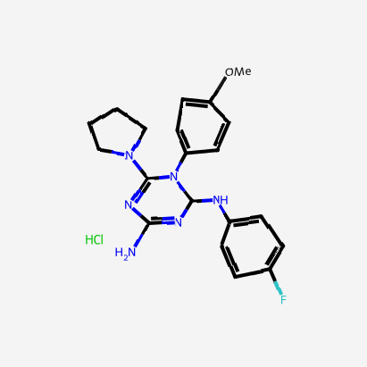 COc1ccc(N2C(N3CCCC3)=NC(N)=NC2Nc2ccc(F)cc2)cc1.Cl